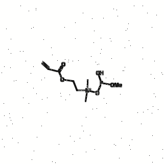 C=CC(=O)OCC[N+](C)(C)OP(O)OC